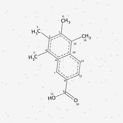 Cc1c(C)c(C)c2cc(C(=O)O)ccc2c1C